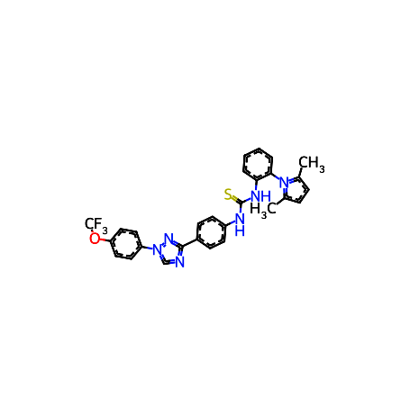 Cc1ccc(C)n1-c1ccccc1NC(=S)Nc1ccc(-c2ncn(-c3ccc(OC(F)(F)F)cc3)n2)cc1